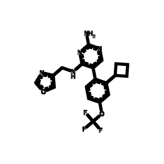 Nc1ncc(-c2ccc(OC(F)(F)F)cc2C2CCC2)c(NCc2cocn2)n1